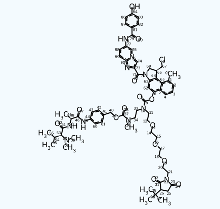 Cc1cccc2c(OC(=O)N(CCOCCOCCOCCN3C(=O)CC(C(C)(C)C)C3=O)CCN(C)C(=O)OCc3ccc(NC(=O)[C@H](C)NC(=O)[C@H](C(C)C)N(C)C)cc3)cc3c(c12)[C@H](CCl)CN3C(=O)c1cn2cc(NC(=O)c3ccc(O)cc3)ccc2n1